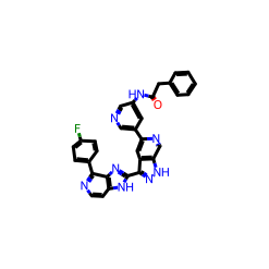 O=C(Cc1ccccc1)Nc1cncc(-c2cc3c(-c4nc5c(-c6ccc(F)cc6)nccc5[nH]4)n[nH]c3cn2)c1